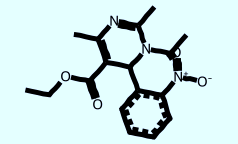 CCOC(=O)C1=C(C)N=C(C)N(C(C)=O)C1c1ccccc1[N+](=O)[O-]